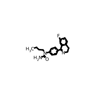 CCCCN(C(N)=O)c1ccc(C2=NCCc3ccc(F)cc32)cc1